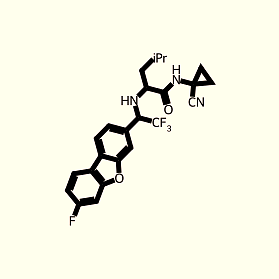 CC(C)CC(NC(c1ccc2c(c1)oc1cc(F)ccc12)C(F)(F)F)C(=O)NC1(C#N)CC1